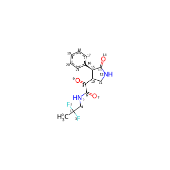 CC(F)(F)CNC(=O)C(=O)C1CNC(=O)[C@@H]1c1ccccc1